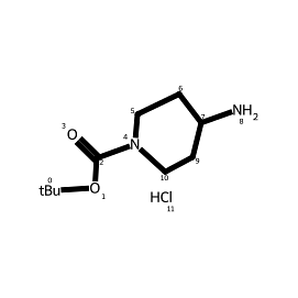 CC(C)(C)OC(=O)N1CCC(N)CC1.Cl